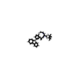 C=C1/C=C(B2OC(C)(C)C(C)(C)O2)\C=C/COc2ccc(-n3c4ccccc4c4ccccc43)cc21